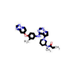 C=CC(=O)N(C)C1CCCN(c2ccn3ncnc(Nc4ccc(Oc5ccn6ncnc6c5)c(C)c4)c23)C1